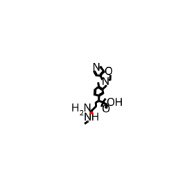 CCN/C=C(\N)CCC(c1ccc(C)c(CN2CCOc3cnccc3C2)c1)C(C)(C)C(=O)O